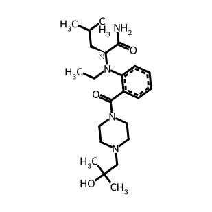 CCN(c1ccccc1C(=O)N1CCN(CC(C)(C)O)CC1)[C@@H](CC(C)C)C(N)=O